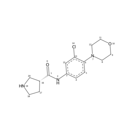 O=C(Nc1ccc(N2CCOCC2)c(Cl)c1)[C@@H]1CCNC1